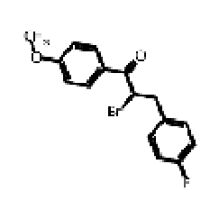 COc1ccc(C(=O)C(Br)Cc2ccc(F)cc2)cc1